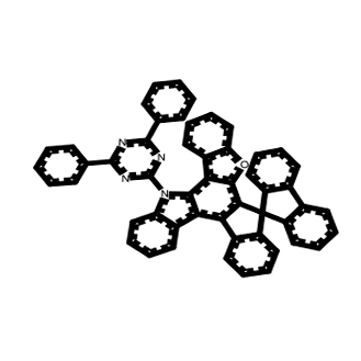 c1ccc(-c2nc(-c3ccccc3)nc(-n3c4ccccc4c4c5c(c6oc7ccccc7c6c43)C3(c4ccccc4-c4ccccc43)c3ccccc3-5)n2)cc1